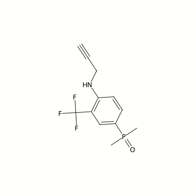 C#CCNc1ccc(P(C)(C)=O)cc1C(F)(F)F